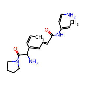 C\C=C/C(=C\C=C\C(=O)NC(/C=C\N)=C/C)C(N)C(=O)N1CCCC1